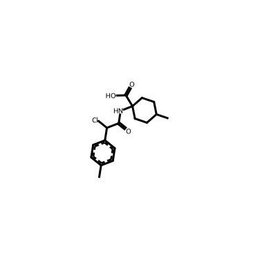 Cc1ccc(C(Cl)C(=O)NC2(C(=O)O)CCC(C)CC2)cc1